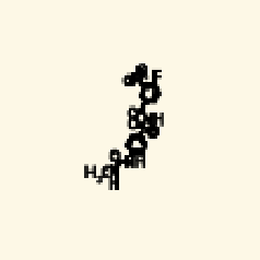 CNC(=O)Nc1ccc(S(=O)(=O)NC(=O)c2ccc(F)c([N+](=O)[O-])c2)cc1